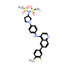 Cc1ccc(-c2ccc3nccc(Nc4ccc(N5CCC(N(S(C)(=O)=O)S(C)(=O)=O)C5)cc4)c3c2)cc1F